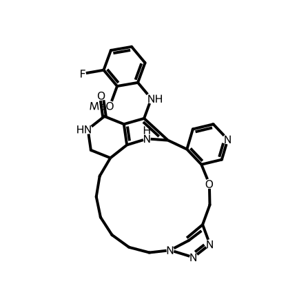 COc1c(F)cccc1Nc1c2[nH]c3c1C(=O)NCC3CCCCCCn1cc(nn1)COc1cnccc1-2